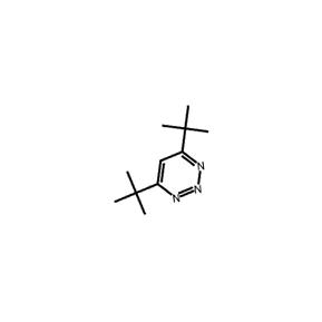 CC(C)(C)c1cc(C(C)(C)C)nnn1